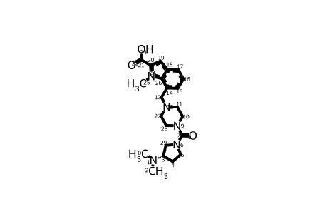 CN(C)[C@H]1CCN(C(=O)N2CCN(Cc3cccc4cc(C(=O)O)n(C)c34)CC2)C1